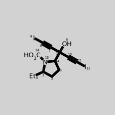 CCC1CCC(C(O)(C#CI)C#CI)N1C(=O)O